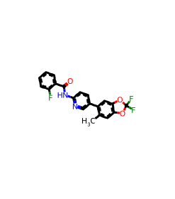 Cc1cc2c(cc1-c1ccc(NC(=O)c3ccccc3F)nc1)OC(F)(F)O2